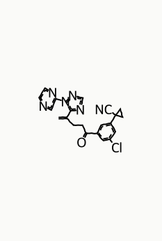 C=C(CCC(=O)c1cc(Cl)cc(C2(C#N)CC2)c1)c1ncnn1-c1cnccn1